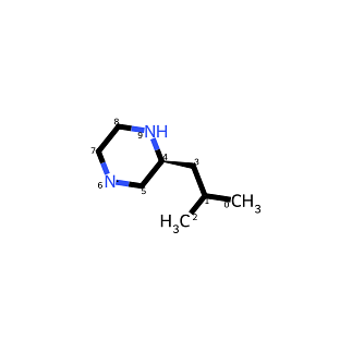 CC(C)C[C@H]1C[N]CCN1